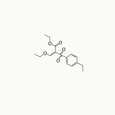 CCO/C=C(\C(=O)OCC)S(=O)(=O)c1ccc(CC)cc1